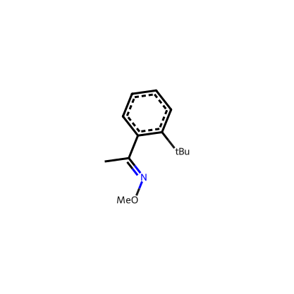 CON=C(C)c1ccccc1C(C)(C)C